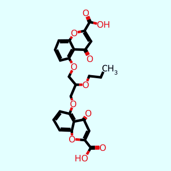 CCCOC(COc1cccc2oc(C(=O)O)cc(=O)c12)COc1cccc2oc(C(=O)O)cc(=O)c12